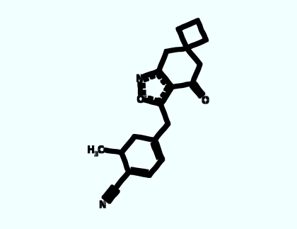 CC1CC(Cc2onc3c2C(=O)CC2(CCC2)C3)=CC=C1C#N